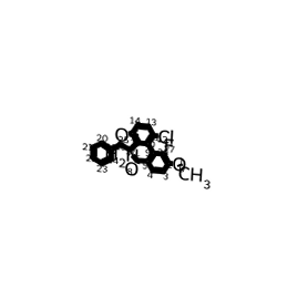 COc1ccc(C(N)=O)c(-c2c(Cl)ccc3c2CC(c2ccccc2)O3)c1F